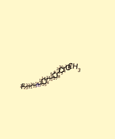 COCc1ccc(-c2ccc(CCC3CCC(/C=C/CCCCCF)CC3)cc2)cc1